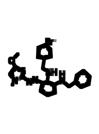 COc1c[n+](C)c(N=Nc2cccc(NCc3ccccc3)c2NCc2ccccc2)s1.[Br-]